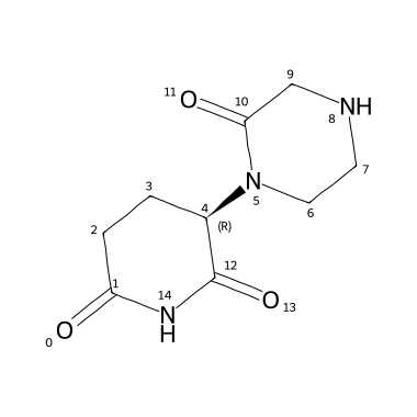 O=C1CC[C@@H](N2CCNCC2=O)C(=O)N1